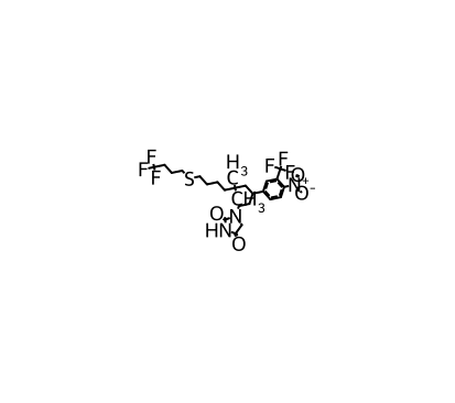 CC(C)(CCCCSCCCC(F)(F)F)CC(CCN1CC(=O)NC1=O)c1ccc([N+](=O)[O-])c(C(F)(F)F)c1